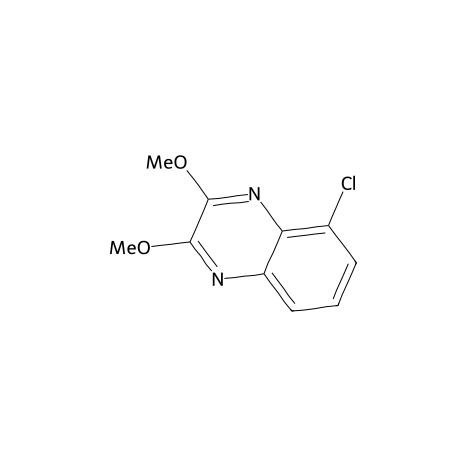 COc1nc2cccc(Cl)c2nc1OC